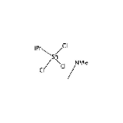 CNC.C[CH](C)[Sn]([Cl])([Cl])[Cl]